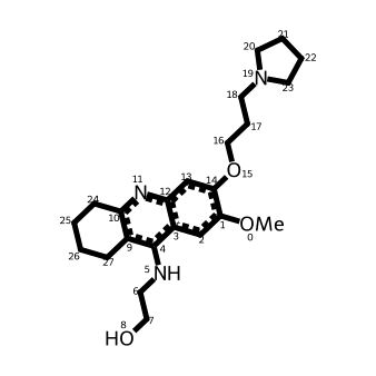 COc1cc2c(NCCO)c3c(nc2cc1OCCCN1CCCC1)CCCC3